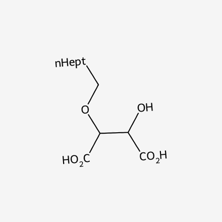 CCCCCCCCOC(C(=O)O)C(O)C(=O)O